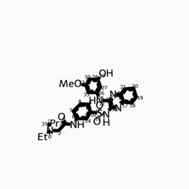 CCN(CC(=O)Nc1cccc(S(=O)(=O)Nc2nc3ccccc3nc2Nc2cc(O)cc(OC)c2)c1)C(C)C